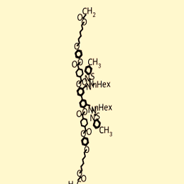 C=CC(=O)OCCCCCCOc1ccc(OC(=O)C2CCC(C(=O)Oc3ccc(-c4ccc(OC(=O)C5CCC(C(=O)Oc6ccc(OCCCCCCOC(=O)C=C)cc6)CC5)c(/C=N/N(CCCCCC)c5nc6ccc(C)cc6s5)c4)cc3/C=N/N(CCCCCC)c3nc4ccc(C)cc4s3)CC2)cc1